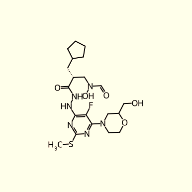 CSc1nc(NNC(=O)[C@H](CC2CCCC2)CN(O)C=O)c(F)c(N2CCOC(CO)C2)n1